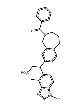 CCn1nnc2c(C)c(C(CC(=O)O)c3ccc4c(c3)CN(C(=O)c3ccccc3)CCC4)ccc21